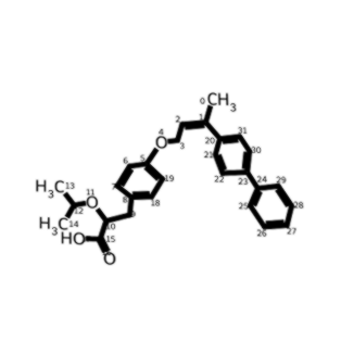 CC(=CCOc1ccc(CC(OC(C)C)C(=O)O)cc1)c1ccc(-c2ccccc2)cc1